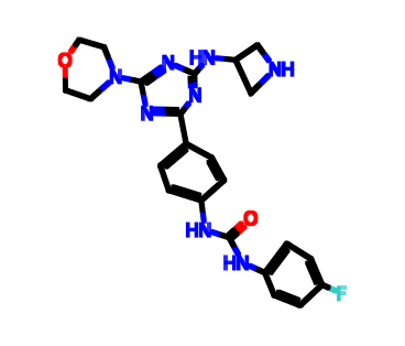 O=C(Nc1ccc(F)cc1)Nc1ccc(-c2nc(NC3CNC3)nc(N3CCOCC3)n2)cc1